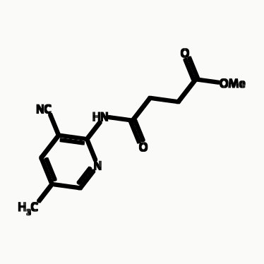 COC(=O)CCC(=O)Nc1ncc(C)cc1C#N